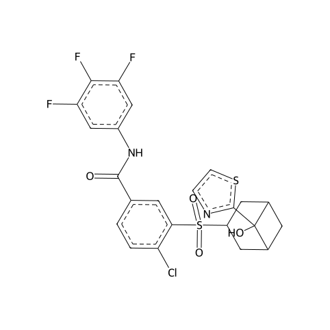 O=C(Nc1cc(F)c(F)c(F)c1)c1ccc(Cl)c(S(=O)(=O)C2CC3CC(C2)C3(O)c2nccs2)c1